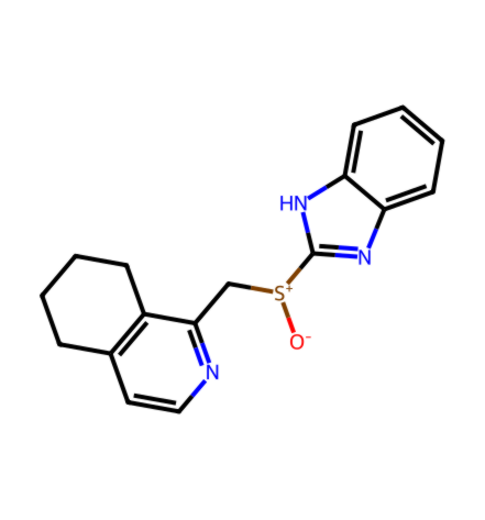 [O-][S+](Cc1nccc2c1CCCC2)c1nc2ccccc2[nH]1